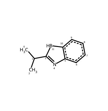 CC(C)C1=Nc2ccccc2B1